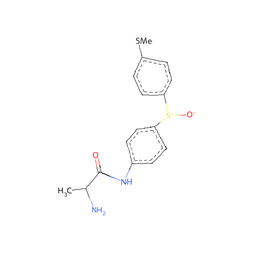 CSc1ccc([S+]([O-])c2ccc(NC(=O)C(C)N)cc2)cc1